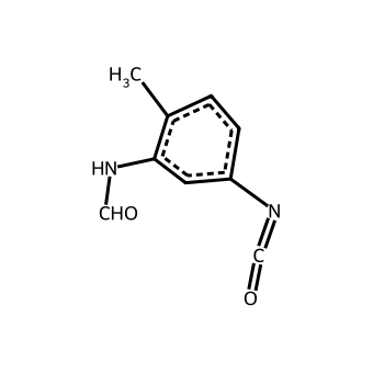 Cc1ccc(N=C=O)cc1NC=O